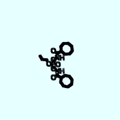 CCCOP(=O)(ONC(=O)C1CCCCCCC1)ONC(=O)C1CCCCCCC1